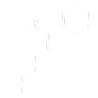 CN/C(=N\CCC(C)C)c1ccccc1